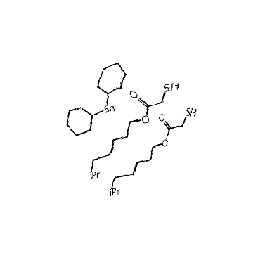 C1CC[CH]([Sn][CH]2CCCCC2)CC1.CC(C)CCCCCOC(=O)CS.CC(C)CCCCCOC(=O)CS